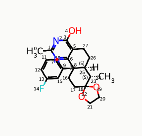 Cc1nc(O)c2c(n1)[C@@]1(c3cccc(F)c3)CCC3(OCCO3)[C@@H](C)[C@@H]1CC2